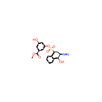 COC(=O)c1cc(O)cc(OS(=O)(=O)C2=c3ccccc3=C(O)C(=[N+]=[N-])C2)c1